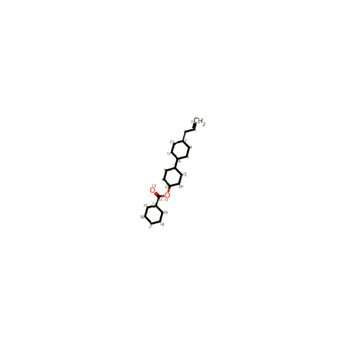 C=CCC1CCC(C2CCC(OC(=O)C3CCCCC3)CC2)CC1